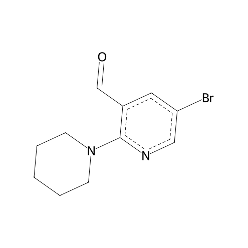 O=Cc1cc(Br)cnc1N1CCCCC1